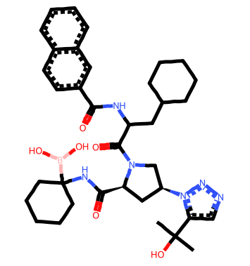 CC(C)(O)c1cnnn1[C@H]1C[C@@H](C(=O)NC2(B(O)O)CCCCC2)N(C(=O)C(CC2CCCCC2)NC(=O)c2ccc3ccccc3c2)C1